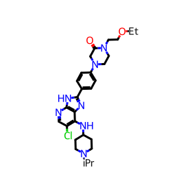 CCOCCN1CCN(c2ccc(-c3nc4c(NC5CCN(C(C)C)CC5)c(Cl)cnc4[nH]3)cc2)CC1=O